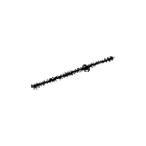 CCCCCCCCC=CCCCCCCCCCCCC(=O)OCCCCCCCCCCCCCCCCCCCCCCCCCCCCCCCCCCCCCCC(C)C